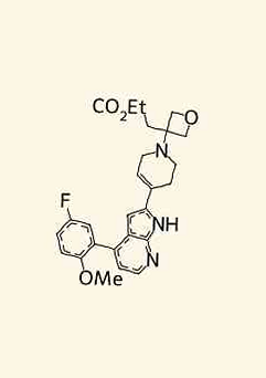 CCOC(=O)CC1(N2CC=C(c3cc4c(-c5cc(F)ccc5OC)ccnc4[nH]3)CC2)COC1